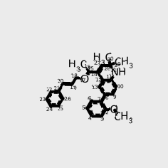 COc1ccccc1-c1ccc2c(c1)C(C(C)OCC=Cc1ccccc1)=CC(C)(C)N2